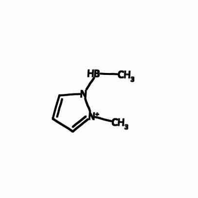 CBn1ccc[n+]1C